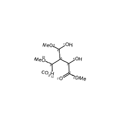 COC(=O)C(O)C(C(O)OC)C(OC)C(=O)O